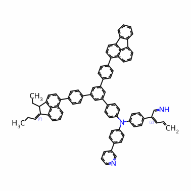 C=C/C=C(\C=N)c1ccc(N(c2ccc(-c3cccnc3)cc2)c2ccc(-c3cc(-c4ccc(-c5ccc6c7c(cccc57)-c5ccccc5-6)cc4)cc(-c4ccc(-c5ccc6c7c(cccc57)/C(=C/CC)C6CC)cc4)c3)cc2)cc1